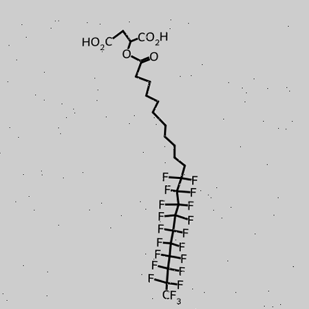 O=C(O)CC(OC(=O)CCCCCCCCCCC(F)(F)C(F)(F)C(F)(F)C(F)(F)C(F)(F)C(F)(F)C(F)(F)C(F)(F)C(F)(F)C(F)(F)F)C(=O)O